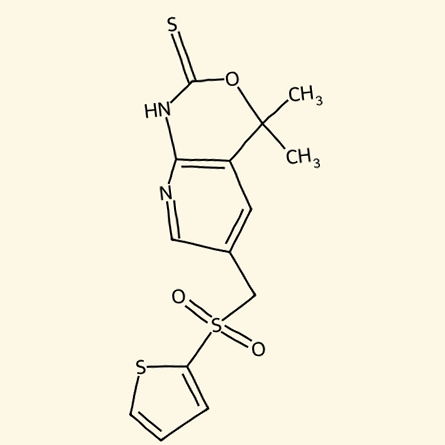 CC1(C)OC(=S)Nc2ncc(CS(=O)(=O)c3cccs3)cc21